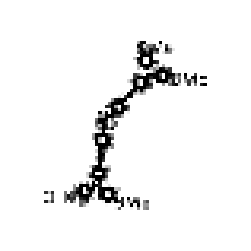 COc1ccc(N(c2ccc(C#Cc3ccc(-c4nnc(-c5ccc(C#Cc6ccc(N(c7ccc(OC)cc7)c7ccc(OC)cc7)cc6)cc5)o4)cc3)cc2)c2ccc(C=O)cc2)cc1